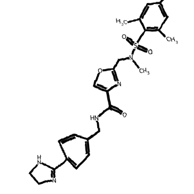 COc1cc(C)c(S(=O)(=O)N(C)Cc2nc(C(=O)NCc3ccc(C4=NCCN4)cc3)co2)c(C)c1